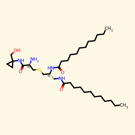 CCCCCCCCCCCC(=O)NC[C@H](CSC[C@H](N)C(=O)NC1(CO)CC1)NC(=O)CCCCCCCCCCC